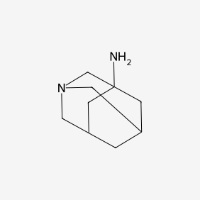 NC12CC3CC(CN(C3)C1)C2